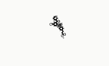 COC(=O)CCc1ccc(S(=O)(=O)Nc2ccc(Cl)cc2C(=O)c2cccnc2)cc1